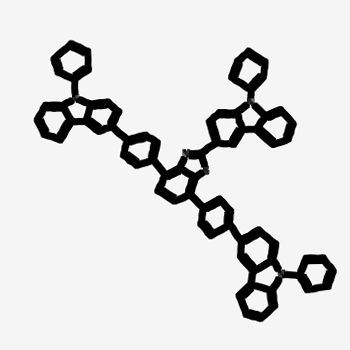 c1ccc(-n2c3ccccc3c3cc(-c4ccc(-c5ccc(-c6ccc(-c7ccc8c(c7)c7ccccc7n8-c7ccccc7)cc6)c6sc(-c7ccc8c(c7)c7ccccc7n8-c7ccccc7)nc56)cc4)ccc32)cc1